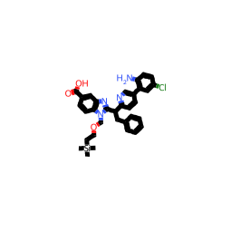 C[Si](C)(C)CCOCn1c(C(Cc2ccccc2)c2ccc(-c3cc(Cl)ccc3N)cn2)nc2cc(C(=O)O)ccc21